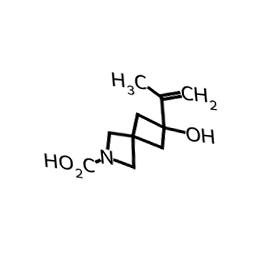 C=C(C)C1(O)CC2(CN(C(=O)O)C2)C1